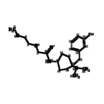 COCCOCC(=O)NC1CCC(Cc2cccc(F)c2)(N(C)C)CC1